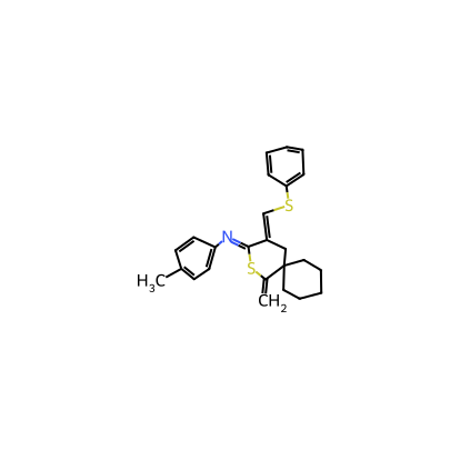 C=C1SC(=N\c2ccc(C)cc2)/C(=C/Sc2ccccc2)CC12CCCCC2